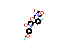 O=C1COCCN1CCOc1cc(=O)n(-c2ccc(OCF)cc2)cc1-c1ccc(F)cc1